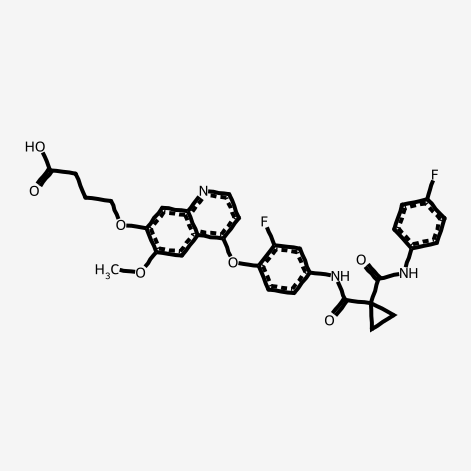 COc1cc2c(Oc3ccc(NC(=O)C4(C(=O)Nc5ccc(F)cc5)CC4)cc3F)ccnc2cc1OCCCC(=O)O